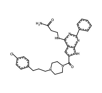 NC(=O)CCNc1nc(-c2ccccc2)nc2[nH]c(C(=O)N3CCN(CCCc4ccc(Cl)cc4)CC3)cc12